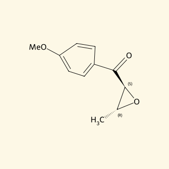 COc1ccc(C(=O)[C@H]2O[C@@H]2C)cc1